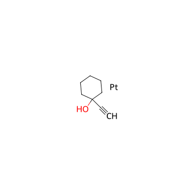 C#CC1(O)CCCCC1.[Pt]